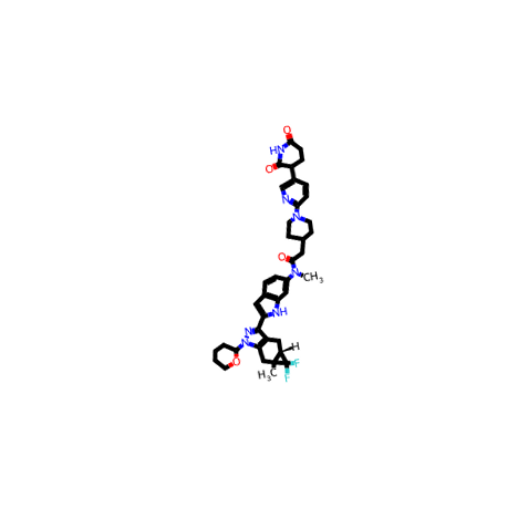 CN(C(=O)CC1CCN(c2ccc(C3CCC(=O)NC3=O)cn2)CC1)c1ccc2cc(-c3nn(C4CCCCO4)c4c3C[C@@H]3C(F)(F)C3(C)C4)[nH]c2c1